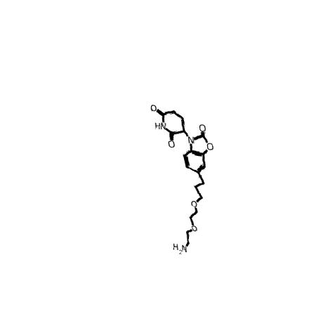 NCCOCCOCCCc1ccc2c(c1)oc(=O)n2C1CCC(=O)NC1=O